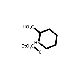 CCOC(=O)Cl.O=C(O)C1CCCCN1